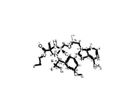 CCCOC(=O)C(C)(C)NP(=O)(CO[C@H](C)Cn1cnc2c(N)ncnc21)N[C@@H](c1cccc(OC)c1)C(F)(F)F